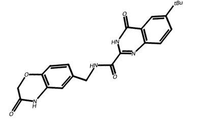 CC(C)(C)c1ccc2nc(C(=O)NCc3ccc4c(c3)NC(=O)CO4)[nH]c(=O)c2c1